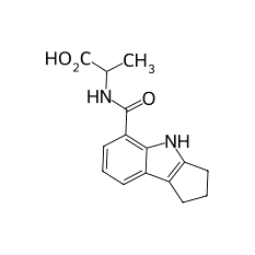 CC(NC(=O)c1cccc2c3c([nH]c12)CCC3)C(=O)O